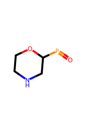 O=PC1CNCCO1